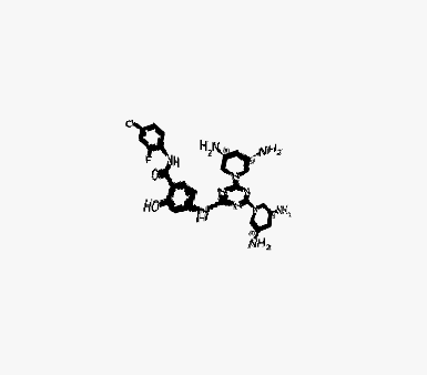 N[C@@H]1C[C@H](N)CN(c2nc(Nc3ccc(C(=O)Nc4ccc(Cl)cc4F)c(O)c3)nc(N3C[C@H](N)C[C@H](N)C3)n2)C1